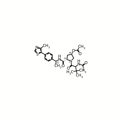 CC(=O)O[C@@H]1C[C@@H](C(=O)N[C@@H](C)c2ccc(-c3scnc3C)cc2)N(C(=O)C(NC(=O)I)C(C)(C)C)C1